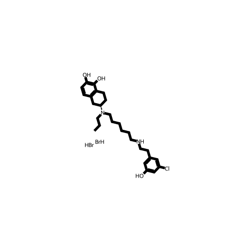 Br.Br.CCCN(CCCCCCNCCc1cc(O)cc(Cl)c1)[C@H]1CCc2c(ccc(O)c2O)C1